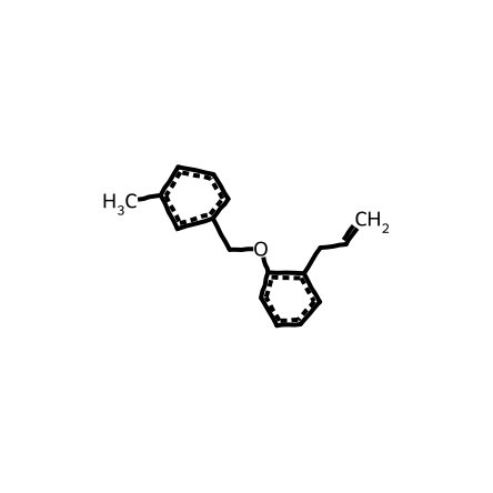 C=CCc1ccccc1OCc1cccc(C)c1